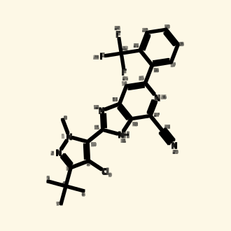 Cn1nc(C(C)(C)C)c(Cl)c1-c1nc2cc(-c3ccccc3C(F)(F)F)nc(C#N)c2[nH]1